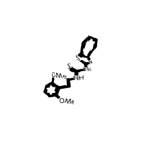 COc1cccc(OC)c1CCNC(=S)Nc1nc2ccccc2s1